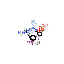 NC(N)=NCc1cccc([123I])c1.NC(N)=NCc1cccc([123I])c1.O=S(=O)(O)O.[HH]